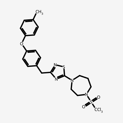 Cc1ccc(Oc2ccc(Cc3nsc(N4CCCN(S(=O)(=O)C(Cl)(Cl)Cl)CC4)n3)cc2)cc1